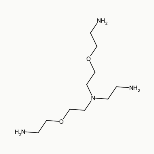 NCCOCCN(CCN)CCOCCN